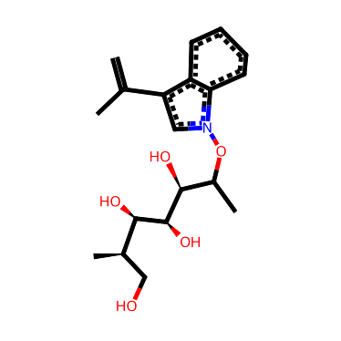 C=C(C)c1cn(OC(C)[C@H](O)[C@@H](O)[C@H](O)[C@H](C)CO)c2ccccc12